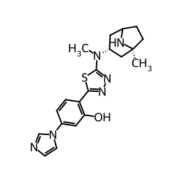 CN(c1nnc(-c2ccc(-n3ccnc3)cc2O)s1)[C@@H]1CC2CC[C@@](C)(C1)N2